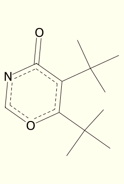 CC(C)(C)c1ocnc(=O)c1C(C)(C)C